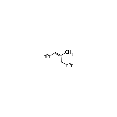 [CH2]CCC=C(C)CCCC